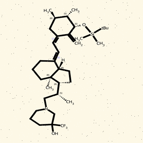 C=C1/C(=C\C=C2/CCC[C@]3(C)[C@@H]([C@H](C)CN4CCCC(O)(C(F)(F)F)C4)CC[C@@H]23)C[C@@H](C)[C@H](C)[C@@H]1O[Si](C)(C)C(C)(C)C